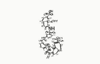 O=C(Nc1cccc(S(=O)(=O)Nc2ccc3ccc(S(=O)(=O)O)cc3c2O)c1)Nc1cccc(S(=O)(=O)Nc2ccc3ccc(S(=O)(=O)O)cc3c2O)c1